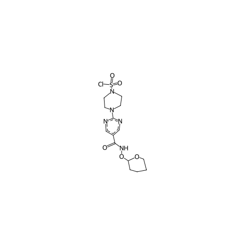 O=C(NOC1CCCCO1)c1cnc(N2CCN(S(=O)(=O)Cl)CC2)nc1